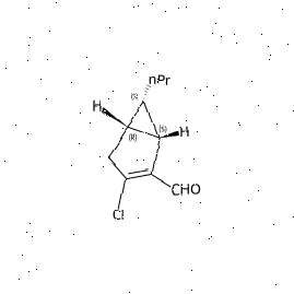 CCC[C@H]1[C@H]2CC(Cl)=C(C=O)[C@H]21